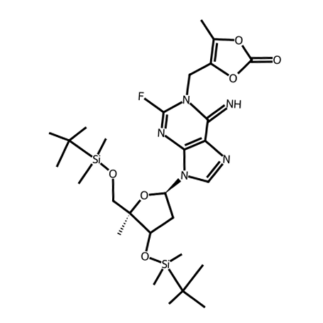 Cc1oc(=O)oc1Cn1c(F)nc2c(ncn2[C@H]2CC(O[Si](C)(C)C(C)(C)C)[C@@](C)(CO[Si](C)(C)C(C)(C)C)O2)c1=N